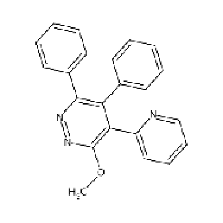 COc1nnc(-c2ccccc2)c(-c2ccccc2)c1-c1ccccn1